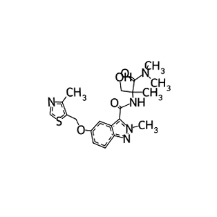 Cc1ncsc1COc1ccc2nn(C)c(C(=O)NC(C)(CO)C(=O)N(C)C)c2c1